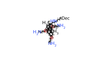 CCCCCCCCCCCCCNCCC[C@@H](C)[C@H]1CC[C@H]2C3[C@H](OCCCN)CC4C[C@H](OCCCN)CC[C@]4(C)[C@H]3C[C@H](OCCCN)[C@]12C